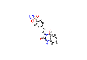 NS(=O)(=O)c1ccc(CCn2c(=O)[nH]c3ccccc3c2=O)cc1